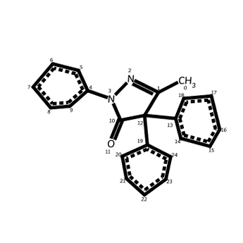 CC1=NN(c2ccccc2)C(=O)C1(c1ccccc1)c1ccccc1